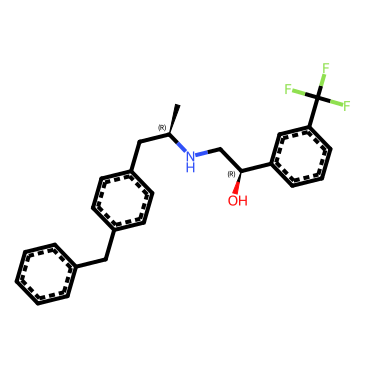 C[C@H](Cc1ccc(Cc2ccccc2)cc1)NC[C@H](O)c1cccc(C(F)(F)F)c1